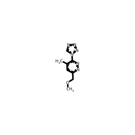 COCc1cc(C)c(-n2cnnn2)nn1